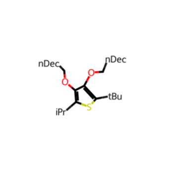 CCCCCCCCCCCOc1c(C(C)C)sc(C(C)(C)C)c1OCCCCCCCCCCC